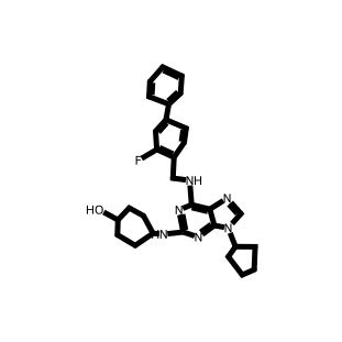 OC1CCC(Nc2nc(NCc3ccc(-c4ccccc4)cc3F)c3ncn(C4CCCC4)c3n2)CC1